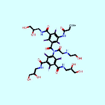 COCC(=O)Nc1c(I)c(C(=O)NCC(O)CO)c(I)c(C(=O)N(C(=O)CNCCO)c2c(I)c(C(=O)NCC(O)CO)c(I)c(C(=O)NCC(O)CO)c2I)c1I